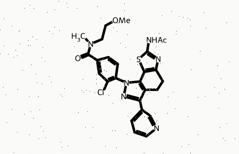 COCCN(C)C(=O)c1ccc(-n2nc(-c3cccnc3)c3c2-c2sc(NC(C)=O)nc2CC3)c(Cl)c1